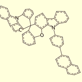 c1ccc2c(c1)Oc1c(ccc3c4ccccc4n(-c4ccc(-c5ccc6ccccc6c5)cc4)c13)C21c2ccccc2-n2c3ccccc3c3cccc1c32